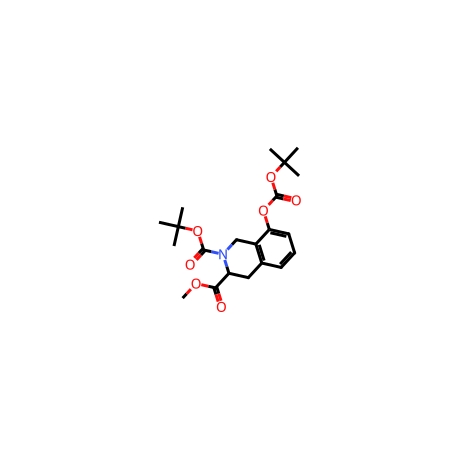 COC(=O)C1Cc2cccc(OC(=O)OC(C)(C)C)c2CN1C(=O)OC(C)(C)C